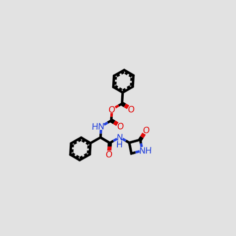 O=C(NC(C(=O)NC1CNC1=O)c1ccccc1)OC(=O)c1ccccc1